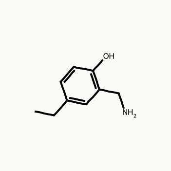 CCc1ccc(O)c(CN)c1